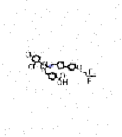 O=C(O)c1ccc(Cn2cc(-c3ccc(Cl)cc3Cl)nc2/C=C/c2ccc(-c3ccc(OCCCC(F)(F)F)cc3)cc2)cc1